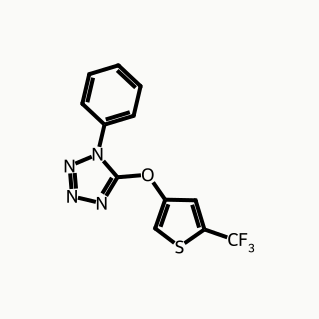 FC(F)(F)c1cc(Oc2nnnn2-c2ccccc2)cs1